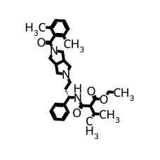 CCOC(=O)C(C(=O)N[C@@H](CCN1CC2CN(C(=O)c3c(C)cccc3C)CC2C1)c1ccccc1)C(C)C